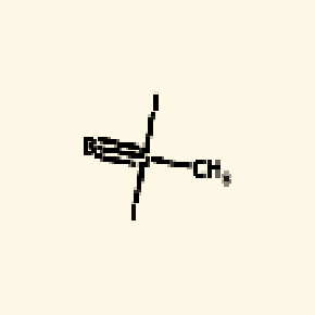 B#S(C)(I)I